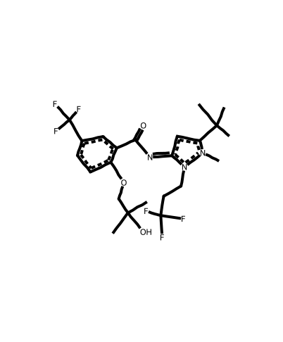 Cn1c(C(C)(C)C)cc(=NC(=O)c2cc(C(F)(F)F)ccc2OCC(C)(C)O)n1CCC(F)(F)F